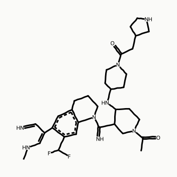 CN/C=C(\C=N)c1cc2c(cc1C(F)F)N(C(=N)C1CN(C(C)=O)CCC1NC1CCN(C(=O)CC3CCNC3)CC1)CCC2